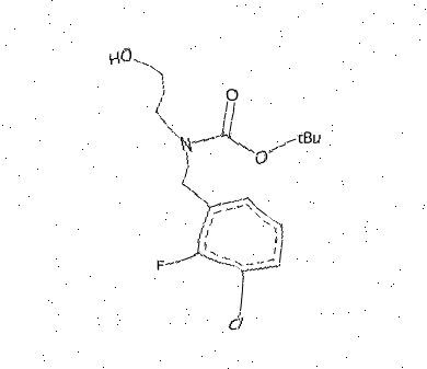 CC(C)(C)OC(=O)N(CCO)Cc1cccc(Cl)c1F